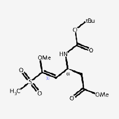 COC(=O)C[C@@H](/C=C(\OC)S(C)(=O)=O)NC(=O)OC(C)(C)C